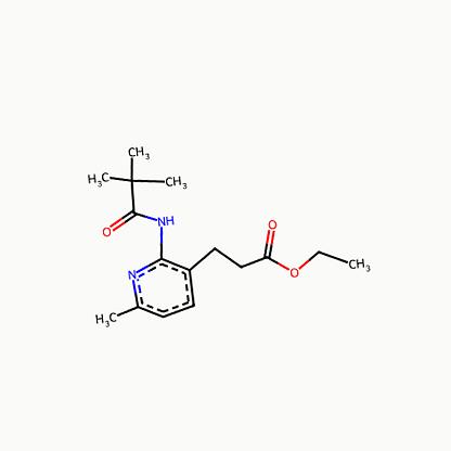 CCOC(=O)CCc1ccc(C)nc1NC(=O)C(C)(C)C